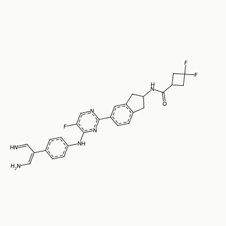 N=C/C(=C\N)c1ccc(Nc2nc(-c3ccc4c(c3)CC(NC(=O)C3CC(F)(F)C3)C4)ncc2F)cc1